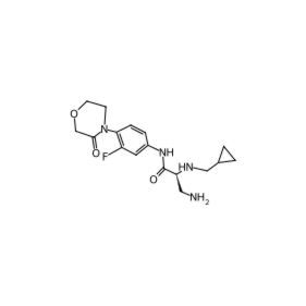 NC[C@H](NCC1CC1)C(=O)Nc1ccc(N2CCOCC2=O)c(F)c1